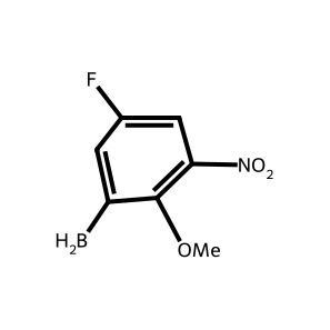 Bc1cc(F)cc([N+](=O)[O-])c1OC